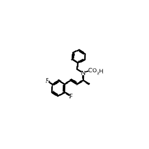 CC(C=Cc1cc(F)ccc1F)N(Cc1ccccc1)C(=O)O